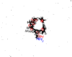 C=C1C[C@@H]2CC[C@@]34C[C@]5(C)O[C@H]6[C@@H](O3)C3O[C@H](CCC3O[C@H]6C5O4)CC(=O)CC3[C@H](CC4O[C@@H](CCC1O2)C[C@@H](C)C4=C)O[C@H](C[C@H](O)CN)[C@@H]3OC